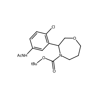 CC(=O)Nc1ccc(Cl)c(C2COCCCN2C(=O)OC(C)(C)C)c1